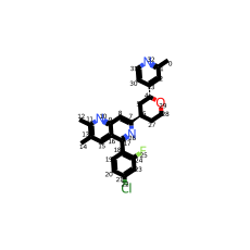 Cc1cc([C@H]2C[C@H](c3cc4nc(C)c(C)cc4c(-c4ccc(Cl)cc4F)n3)CCO2)ccn1